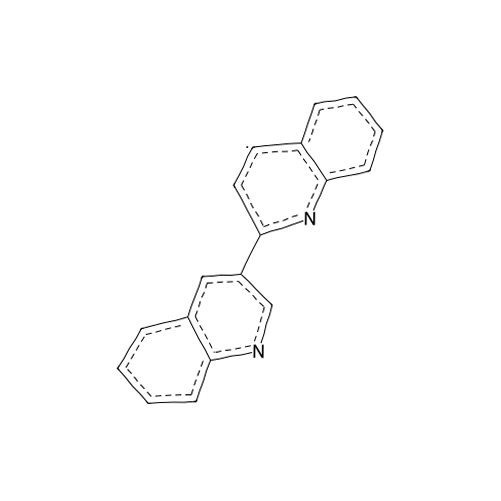 [c]1cc(-c2cnc3ccccc3c2)nc2ccccc12